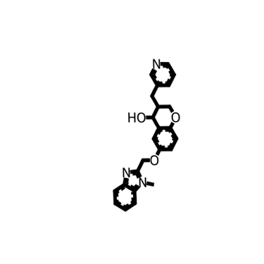 Cn1c(COc2ccc3c(c2)C(O)C(Cc2cccnc2)CO3)nc2ccccc21